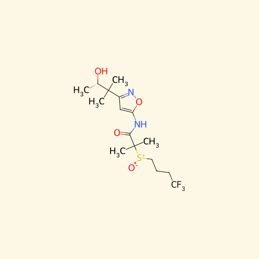 C[C@H](O)C(C)(C)c1cc(NC(=O)C(C)(C)[S@+]([O-])CCCC(F)(F)F)on1